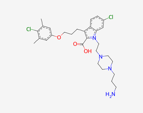 Cc1cc(OCCCc2c(C(=O)O)n(CCN3CCN(CCCN)CC3)c3cc(Cl)ccc23)cc(C)c1Cl